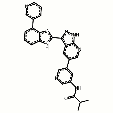 CC(C)C(=O)Nc1cncc(-c2cnc3[nH]nc(-c4nc5c(-c6cccnc6)cccc5[nH]4)c3c2)c1